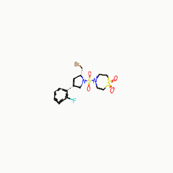 O=S1(=O)CCN(S(=O)(=O)N2C[C@H](c3ccccc3F)C[C@@H]2CBr)CC1